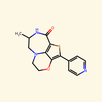 CC1CN2CCOc3c(-c4ccncc4)sc(c32)C(=O)N1